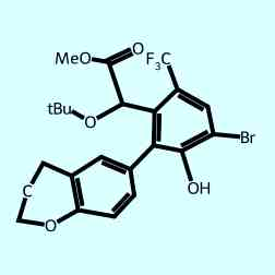 COC(=O)C(OC(C)(C)C)c1c(C(F)(F)F)cc(Br)c(O)c1-c1ccc2c(c1)CCCO2